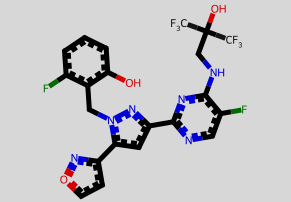 Oc1cccc(F)c1Cn1nc(-c2ncc(F)c(NCC(O)(C(F)(F)F)C(F)(F)F)n2)cc1-c1ccon1